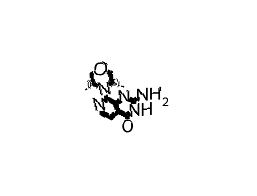 C[C@@H]1COC[C@H](C)N1c1nccc2c(=O)[nH]c(N)nc12